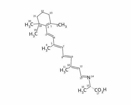 CC1=C(/C=C/C(C)=C/C=C/C(C)=C/C=N[C@@H](C)C(=O)O)C(C)(C)CCC1